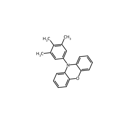 Cc1cc(N2c3ccccc3Oc3ccccc32)cc(C)c1C